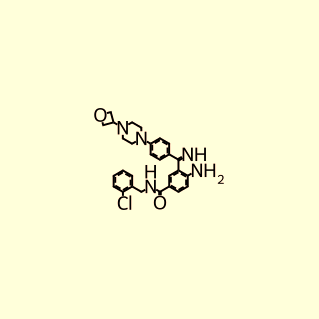 N=C(c1ccc(N2CCN(C3COC3)CC2)cc1)c1cc(C(=O)NCc2ccccc2Cl)ccc1N